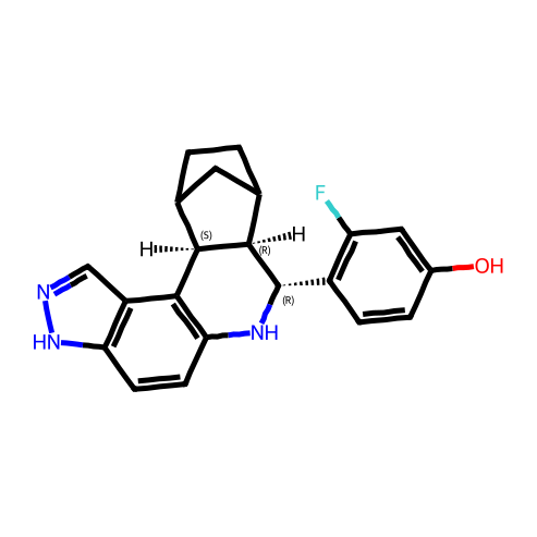 Oc1ccc([C@@H]2Nc3ccc4[nH]ncc4c3[C@H]3C4CCC(C4)[C@@H]23)c(F)c1